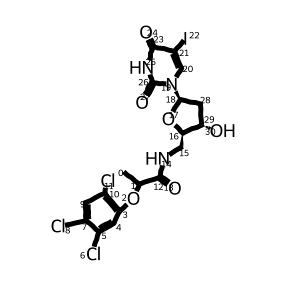 CC(Oc1cc(Cl)c(Cl)cc1Cl)C(=O)NC[C@H]1O[C@@H](n2cc(I)c(=O)[nH]c2=O)C[C@@H]1O